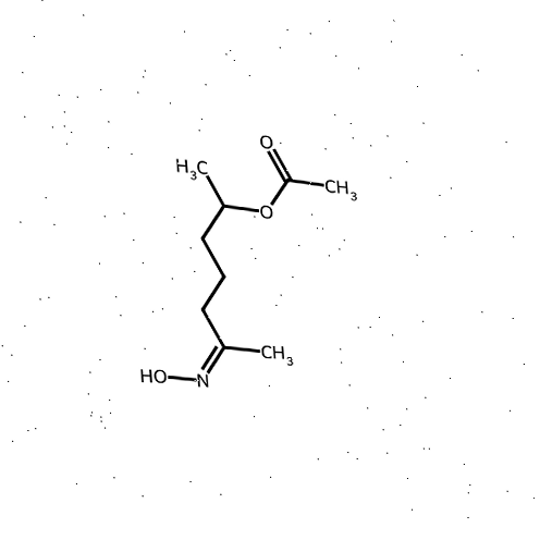 CC(=O)OC(C)CCC/C(C)=N\O